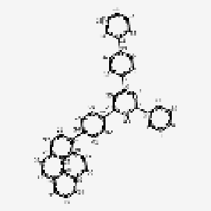 c1ccc(-c2nc(-c3ccc(-c4cccnc4)cc3)cc(-c3ccc(-c4ccc5ccc6cccc7ccc4c5c67)cc3)n2)cc1